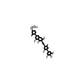 CCCCOc1ccc(-c2cc(F)c3c(F)c(C#Cc4cc(F)c(-c5cc(F)c(F)c(F)c5)cc4C)c(F)cc3c2)c(F)c1